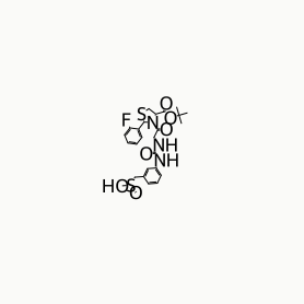 CC(C)(C)OC(=O)C1CSC(c2ccccc2F)N1C(=O)CNC(=O)Nc1cccc(CS(=O)O)c1